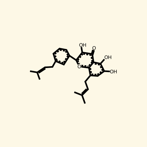 CC(C)=CCc1cccc(-c2oc3c(CC=C(C)C)cc(O)c(O)c3c(=O)c2O)c1